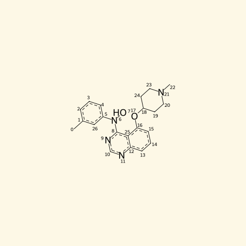 Cc1cccc(N(O)c2ncnc3cccc(OC4CCN(C)CC4)c23)c1